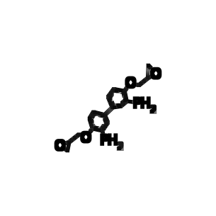 Pc1cc(-c2ccc(OCC3CO3)c(P)c2)ccc1OCC1CO1